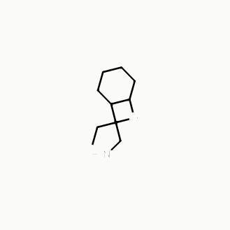 CCC1(CN)OC2CCCCC21